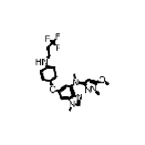 COc1cc(N(C)c2cc(OC3CCC(NCCC(F)(F)F)CC3)cc3c2ncn3C)nn1C